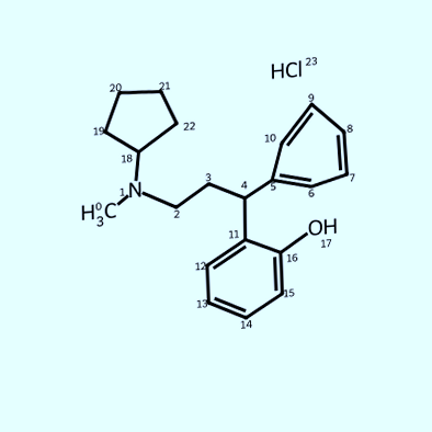 CN(CCC(c1ccccc1)c1ccccc1O)C1CCCC1.Cl